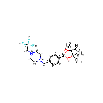 CC1(C)OB(c2ccc(CN3CCN(CC(F)(F)F)CC3)cc2)OC1(C)C